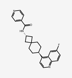 O=C(N[C@H]1CC2(CC[C@H](c3ccnc4ccc(F)cc43)CC2)C1)c1ccncc1